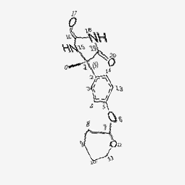 C[C@@]1(c2ccc(OC3CCCCO3)cc2)NC(=O)NC1=O